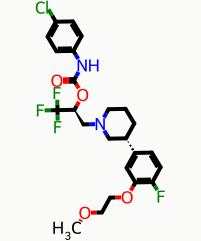 COCCOc1cc([C@H]2CCCN(C[C@H](OC(=O)Nc3ccc(Cl)cc3)C(F)(F)F)C2)ccc1F